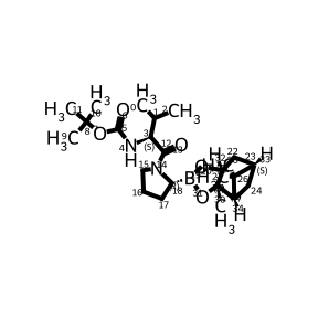 CC(C)[C@H](NC(=O)OC(C)(C)C)C(=O)N1CCC[C@H]1B1O[C@@H]2C[C@@H]3C[C@@H](C3(C)C)[C@]2(C)O1